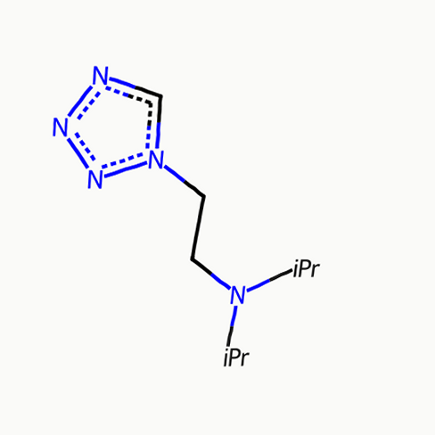 CC(C)N(CCn1cnnn1)C(C)C